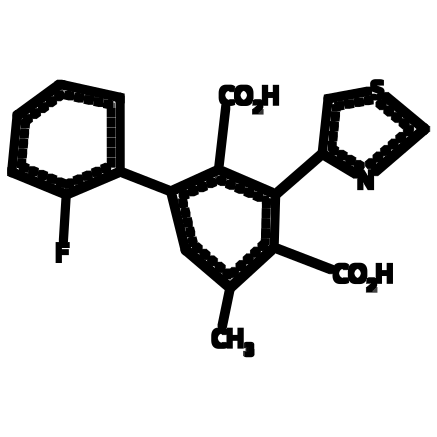 Cc1cc(-c2ccccc2F)c(C(=O)O)c(-c2cscn2)c1C(=O)O